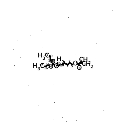 C=C(C)C(=O)OCCCCC[SiH2]OC(OCCC)OCCC